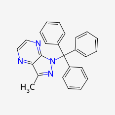 Cc1nn(C(c2ccccc2)(c2ccccc2)c2ccccc2)c2nccnc12